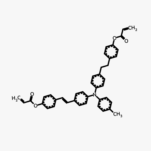 C=CC(=O)Oc1ccc(C=Cc2ccc(N(c3ccc(C)cc3)c3ccc(CCc4ccc(OC(=O)C=C)cc4)cc3)cc2)cc1